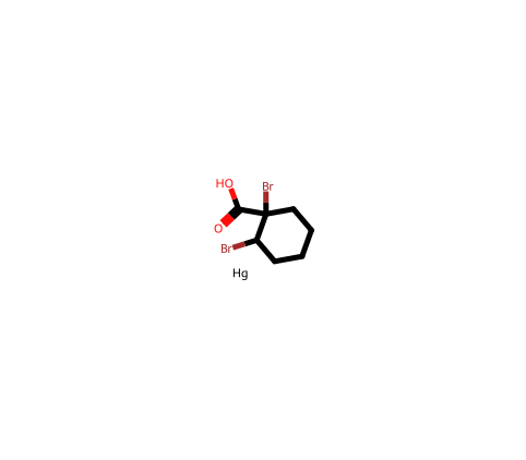 O=C(O)C1(Br)CCCCC1Br.[Hg]